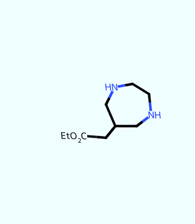 CCOC(=O)CC1CNCCNC1